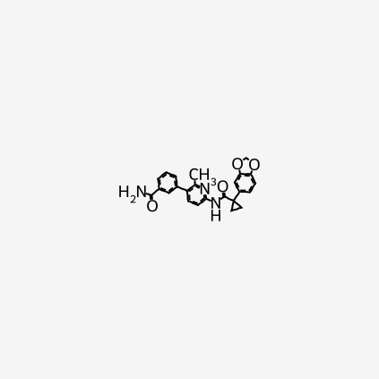 Cc1nc(NC(=O)C2(c3ccc4c(c3)OCO4)CC2)ccc1-c1cccc(C(N)=O)c1